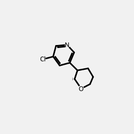 Clc1cncc(C2[C]OCCC2)c1